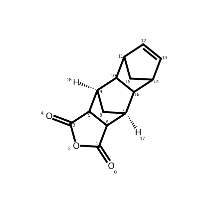 O=C1OC(=O)C2C1[C@H]1C[C@@H]2C2C3C=CC(C3)C21